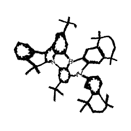 CC1(C)CCC(C)(C)C2=C1C=C1C(C2)B2c3c(cc(C(C)(C)C)cc3-n3c4c(c5cc(C(C)(C)C)cc2c53)-c2ccccc2C4(C)C)N1c1ccc2c(c1)C(C)(C)CCC2(C)C